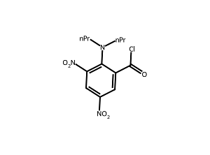 CCCN(CCC)c1c(C(=O)Cl)cc([N+](=O)[O-])cc1[N+](=O)[O-]